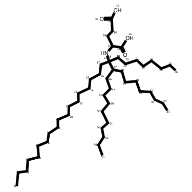 CCCCCCCCCCCCCCCCCCC(CCCCCCCC)(NC(CCC(=O)O)C(=O)O)C(CCCCCCCC)CCCCCCCCCC